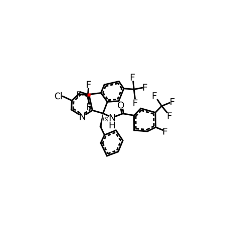 O=C(N[C@](Cc1ccccc1)(c1ccc(Cl)cn1)c1cc(C(F)(F)F)ccc1C(F)(F)F)c1ccc(F)c(C(F)(F)F)c1